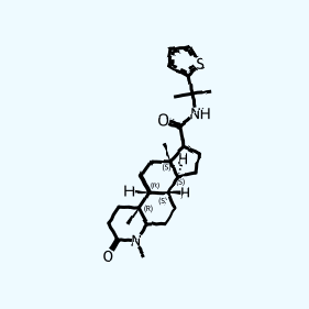 CN1C(=O)CC[C@@]2(C)C1CC[C@@H]1[C@H]2CC[C@]2(C)C(C(=O)NC(C)(C)c3cccs3)CC[C@@H]12